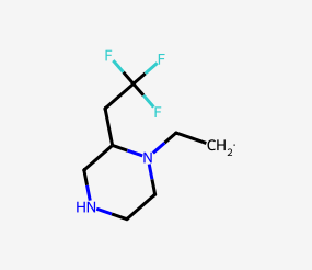 [CH2]CN1CCNCC1CC(F)(F)F